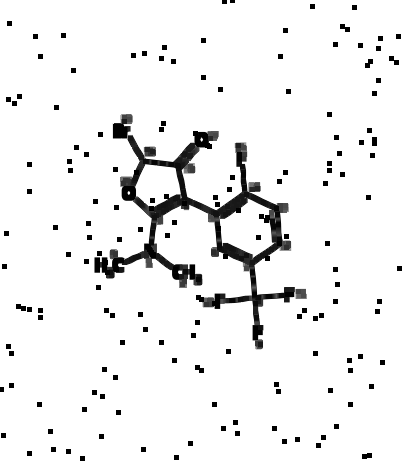 CN(C)C1=C(c2cc(C(F)(F)F)ccc2F)C(=O)C(Br)O1